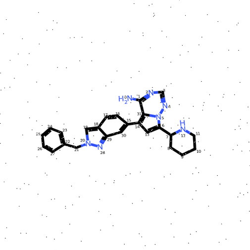 Nc1ncnn2c(C3CCCCN3)cc(-c3ccc4cn(Cc5ccccc5)nc4c3)c12